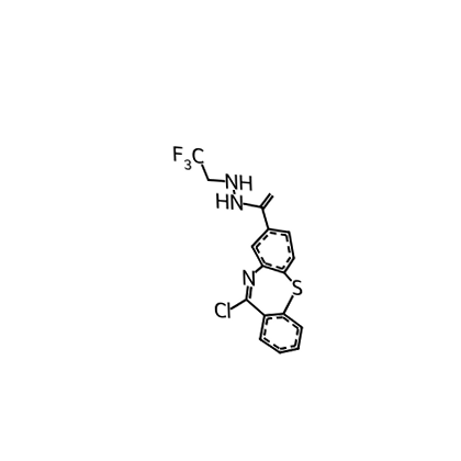 C=C(NNCC(F)(F)F)c1ccc2c(c1)N=C(Cl)c1ccccc1S2